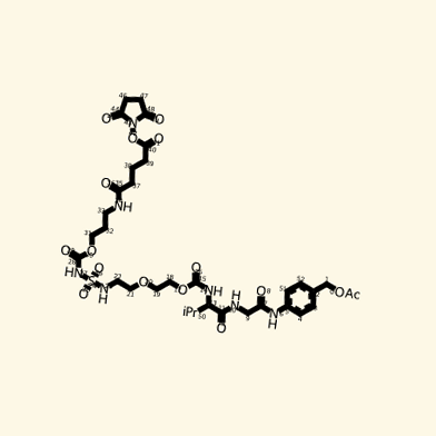 CC(=O)OCc1ccc(NC(=O)CNC(=O)C(NC(=O)OCCOCCNS(=O)(=O)NC(=O)OCCCNC(=O)CCCC(=O)ON2C(=O)CCC2=O)C(C)C)cc1